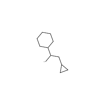 [CH2]C(CC1CC1)C1CCCCC1